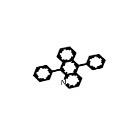 c1ccc(-c2c3ccccc3c(-c3ccccc3)c3ncccc23)cc1